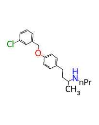 CCCNC(C)CCc1ccc(OCc2cccc(Cl)c2)cc1